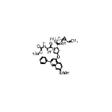 C=C[C@@H]1C[C@]1(NC(=S)[C@@H]1C[C@@H](Oc2cc(-c3ccccc3)nc3cc(OC)ccc23)CN1C(=O)C(NC(=O)OC(C)(C)C)C(C)C)C(=O)O